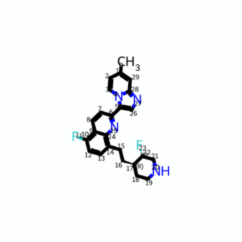 Cc1ccn2c(-c3ccc4c(F)ccc(CC[C@@H]5CCNC[C@H]5F)c4n3)cnc2c1